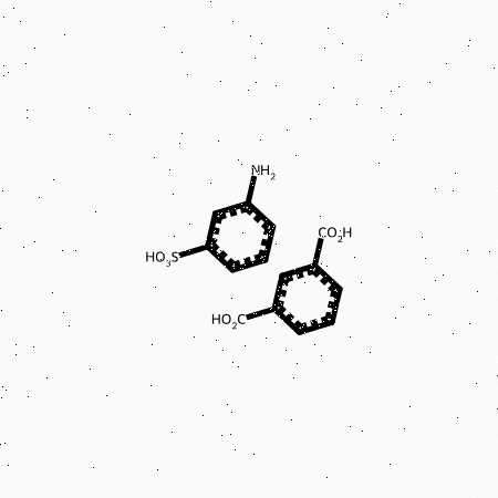 Nc1cccc(S(=O)(=O)O)c1.O=C(O)c1cccc(C(=O)O)c1